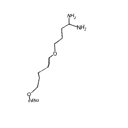 CCCCOCCCCOCCCC(N)N